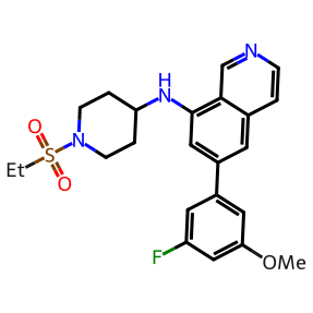 CCS(=O)(=O)N1CCC(Nc2cc(-c3cc(F)cc(OC)c3)cc3ccncc23)CC1